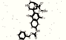 CC(C)(C)OC(=O)N1C2CCC1(c1cc(F)c3c(c1F)CCC(NC(=O)OCc1ccccc1)C3)CNC2